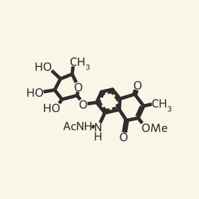 COC1=C(C)C(=O)c2ccc(OC3OC(C)C(O)C(O)C3O)c(NNC(C)=O)c2C1=O